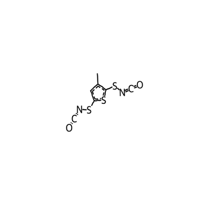 Cc1cc(SN=C=O)sc1SN=C=O